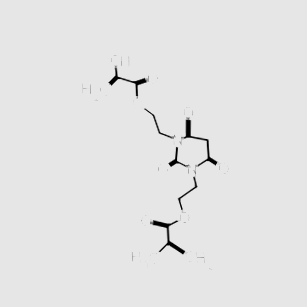 C=C(C)C(=O)OCCN1C(=O)CC(=O)N(CCOC(=O)C(=C)C)C1=O